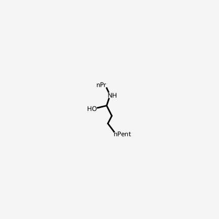 CCCCCCCC(O)NCCC